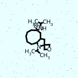 BC1(NC(C)C)CCCCCC2C(C1)CC1(COC1)N2C(C)C